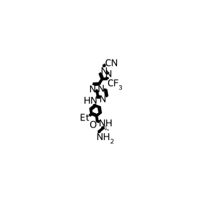 CCc1cc(Nc2nccn3c(-c4cn(CC#N)nc4C(F)(F)F)cnc23)ccc1C(=O)N[C@H](C)CN